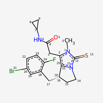 Cn1c(CC(=O)NC2CC2)c2n(c1=S)CC[C@@H]2Cc1cc(Br)ccc1F